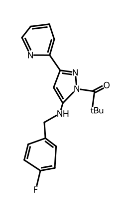 CC(C)(C)C(=O)n1nc(-c2ccccn2)cc1NCc1ccc(F)cc1